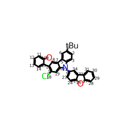 CC(C)(C)c1ccc2c(c1)c1c3oc4ccccc4c3c(Cl)cc1n2-c1ccc2oc3ccccc3c2c1